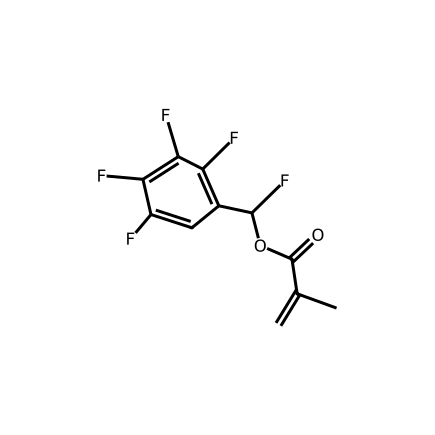 C=C(C)C(=O)OC(F)c1cc(F)c(F)c(F)c1F